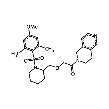 COc1cc(C)c(S(=O)(=O)N2CCCCC2COCC(=O)N2CCc3cnccc3C2)c(C)c1